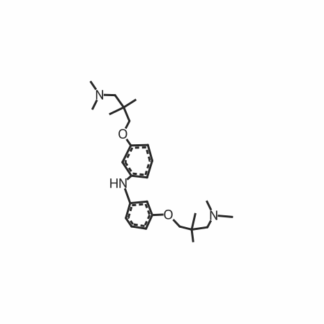 CN(C)CC(C)(C)COc1cccc(Nc2cccc(OCC(C)(C)CN(C)C)c2)c1